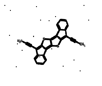 CC#CC1=c2sc3c4c(sc3c2-c2ccccc21)=C(C#CC)c1ccccc1-4